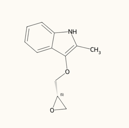 Cc1[nH]c2ccccc2c1OC[C@@H]1CO1